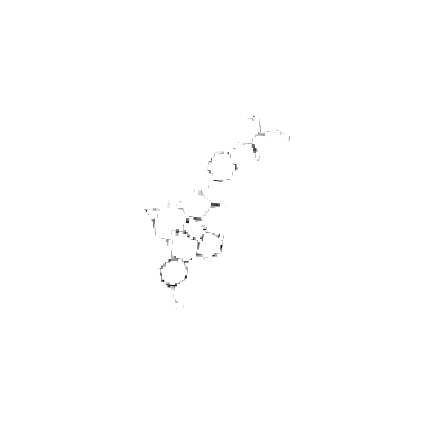 Cc1ccc(OCC2CC2)c(-c2ncnc3c(C(=O)N[C@H]4CC[C@H](NC(=O)[C@H](C)O)CC4)c(C)[nH]c23)c1